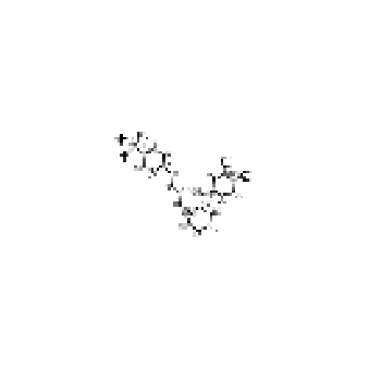 FC(F)(F)c1ccc(CCCCN2CCCCC2Cc2ccc(Cl)c(Cl)c2)cc1